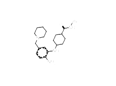 CC(C)NC(=O)C1CCC(Nc2cc(CN3CCCCC3)ccc2N)CC1